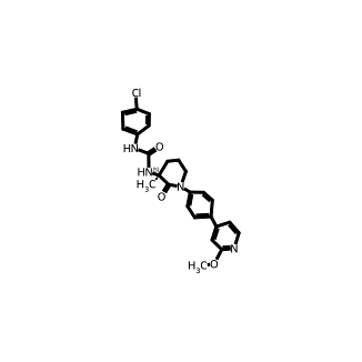 COc1cc(-c2ccc(N3CCC[C@](C)(NC(=O)Nc4ccc(Cl)cc4)C3=O)cc2)ccn1